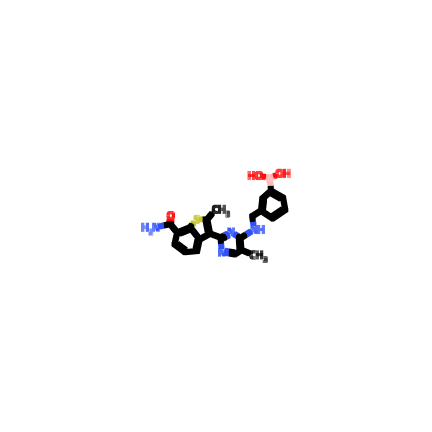 Cc1cnc(-c2c(C)sc3c(C(N)=O)cccc23)nc1NCc1cccc(B(O)O)c1